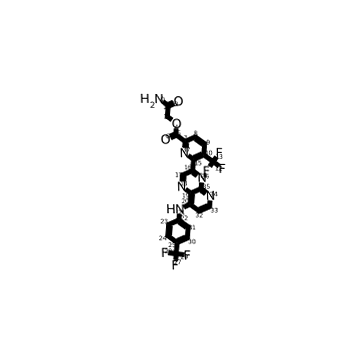 NC(=O)COC(=O)c1ccc(C(F)(F)F)c(-c2cnc3c(Nc4ccc(C(F)(F)F)cc4)ccnc3n2)n1